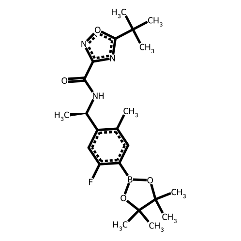 Cc1cc(B2OC(C)(C)C(C)(C)O2)c(F)cc1[C@@H](C)NC(=O)c1noc(C(C)(C)C)n1